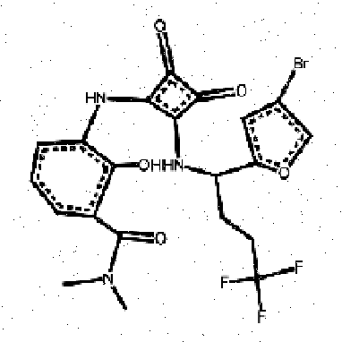 CN(C)C(=O)c1cccc(Nc2c(NC(CCC(F)(F)F)c3cc(Br)co3)c(=O)c2=O)c1O